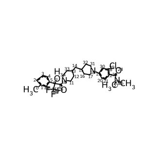 Cc1cccc(C(O)(C(=O)N2CCC(CC3CCN(c4ccc(C(=O)N(C)C)c(Cl)c4)CC3)CC2)C(F)(F)F)c1